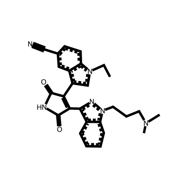 CCn1cc(C2=C(c3nn(CCCN(C)C)c4ccccc34)C(=O)NC2=O)c2cc(C#N)ccc21